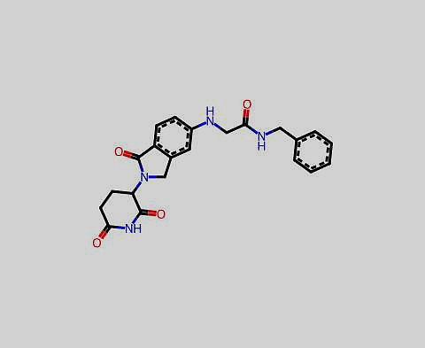 O=C(CNc1ccc2c(c1)CN(C1CCC(=O)NC1=O)C2=O)NCc1ccccc1